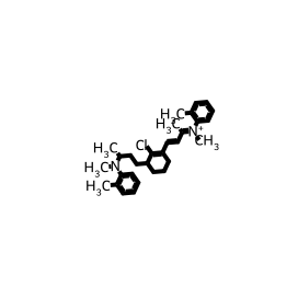 CC(/C=C/C1=C(Cl)C(CCC(C)N(C)c2ccccc2C)CCC1)=[N+](/C)c1ccccc1C